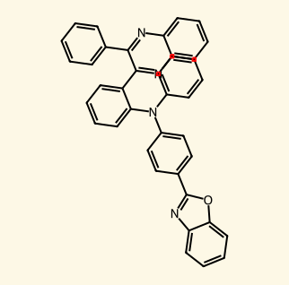 c1ccc(-c2nc3ccccc3nc2-c2ccccc2N(c2ccccc2)c2ccc(-c3nc4ccccc4o3)cc2)cc1